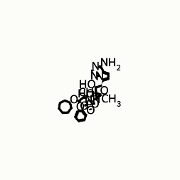 C[C@H](N[P@@](=O)(Oc1ccccc1)OC1[C@@]2(C)O[C@@H](c3ccc4c(N)ncnn34)[C@H](O)[C@@]12O)C(=O)OC1CCCCCC1